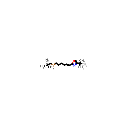 CC(C)(C)CSCCCC/C=C/c1nc(C(C)(C)C)co1